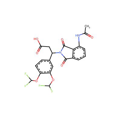 CC(=O)Nc1cccc2c1C(=O)N(C(CC(=O)O)c1ccc(OC(F)F)c(OC(F)F)c1)C2=O